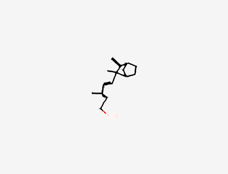 C=C1C2CCC(C2)C1(C)C=CC(C)=CCO